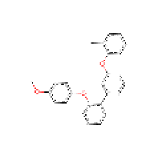 COc1ccc(Oc2c[c]ccc2-c2cccc(Oc3ccccc3C)c2)cc1